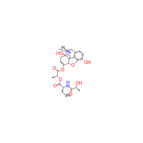 CC(C)C[C@H](NC(=O)[C@H](C)O)C(=O)O[C@@H](C)C(=O)OC1=CC[C@]2(O)[C@@H]3Cc4ccc(O)c5c4C2(CCN3C)C1O5